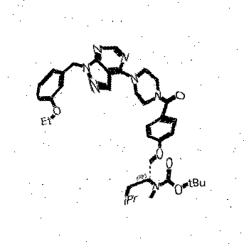 CCOc1cccc(Cn2ncc3c(N4CCN(C(=O)c5ccc(OC[C@@H](CC(C)C)N(C)C(=O)OC(C)(C)C)cc5)CC4)ncnc32)c1